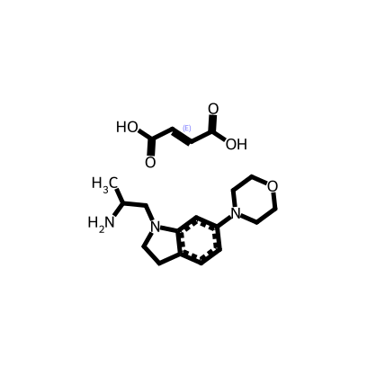 CC(N)CN1CCc2ccc(N3CCOCC3)cc21.O=C(O)/C=C/C(=O)O